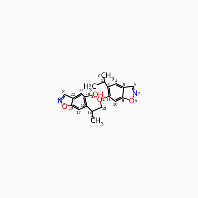 CC(C)c1cc2cnoc2cc1OCC(C)c1cc2oncc2cc1O